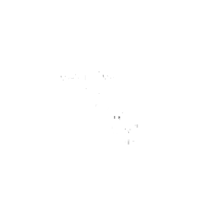 COP(=O)(CCCCC[PH](O)(O)N(C(C)C)C(C)C)OC